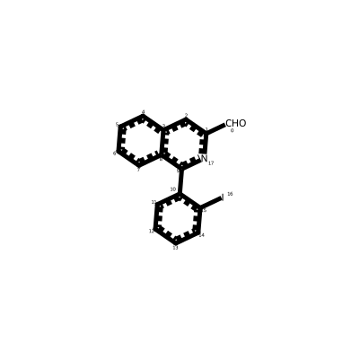 O=Cc1cc2ccccc2c(-c2ccccc2I)n1